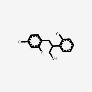 OCC(Cc1ccc(Cl)cc1Cl)c1ccccc1Cl